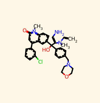 C=CN(C)/C(=C\N)C(O)(c1ccc(CN2CCOCC2)cc1)c1ccc2c(c1)c(-c1cccc(Cl)c1)cc(=O)n2C